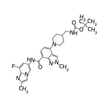 Cc1cn2cc(NC(=O)c3ccc(N4CCC(CNC(=O)OC(C)(C)C)CC4)c4cn(C)nc34)cc(F)c2n1